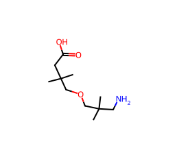 CC(C)(CN)COCC(C)(C)CC(=O)O